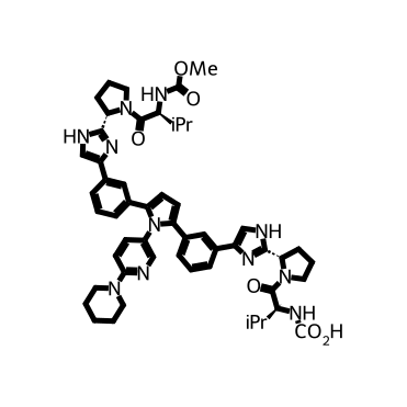 COC(=O)N[C@H](C(=O)N1CCC[C@H]1c1nc(-c2cccc(-c3ccc(-c4cccc(-c5c[nH]c([C@@H]6CCCN6C(=O)[C@@H](NC(=O)O)C(C)C)n5)c4)n3-c3ccc(N4CCCCC4)nc3)c2)c[nH]1)C(C)C